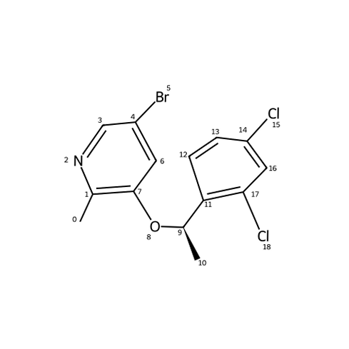 Cc1ncc(Br)cc1O[C@H](C)c1ccc(Cl)cc1Cl